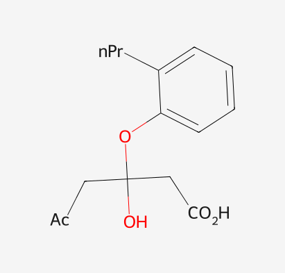 CCCc1ccccc1OC(O)(CC(C)=O)CC(=O)O